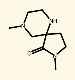 CN1CCNC2(CCN(C)C2=O)C1